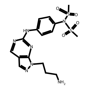 CS(=O)(=O)N(c1ccc(Nc2ncc3cnn(CCCN)c3n2)cc1)S(C)(=O)=O